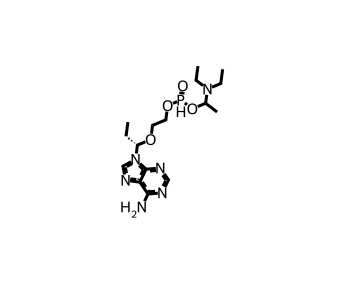 CC[C@H](OCCO[PH](=O)OC(C)N(CC)CC)n1cnc2c(N)ncnc21